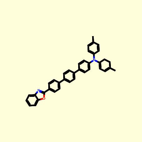 CC1=CC=C(N(c2ccc(C)cc2)c2ccc(-c3ccc(-c4ccc(-c5nc6ccccc6o5)cc4)cc3)cc2)CC1